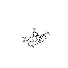 COCOc1c(B2OC(C)(C)C(C)(C)O2)cc(C)cc1C12CC3C[C@@](C)(C1)C[C@](C)(C3)C2